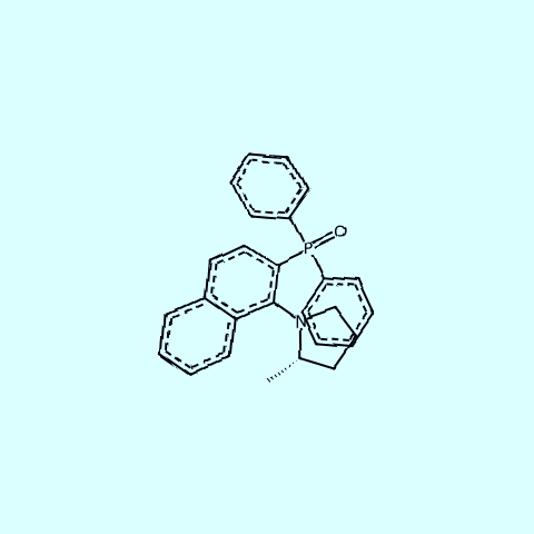 C[C@H]1CCCN1c1c(P(=O)(c2ccccc2)c2ccccc2)ccc2ccccc12